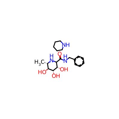 C1CCNCC1.C[C@@H]1NC(C(=O)NCc2ccccc2)[C@H](O)[C@H](O)[C@H]1O